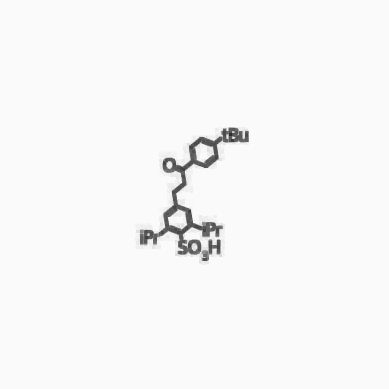 CC(C)c1cc(CCC(=O)c2ccc(C(C)(C)C)cc2)cc(C(C)C)c1S(=O)(=O)O